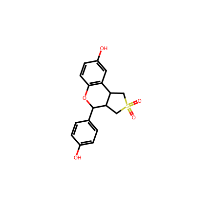 O=S1(=O)CC2c3cc(O)ccc3OC(c3ccc(O)cc3)C2C1